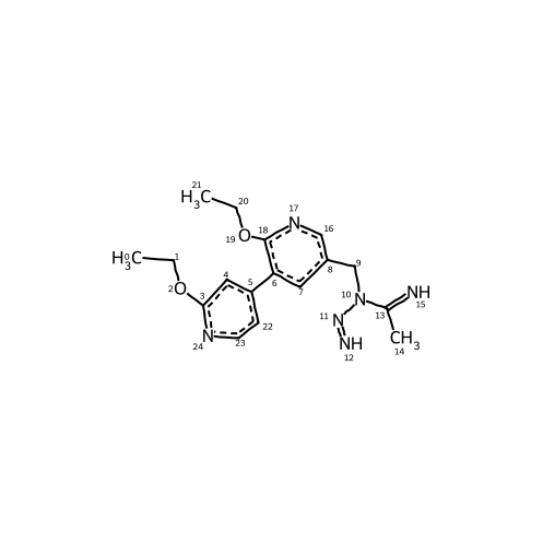 CCOc1cc(-c2cc(CN(N=N)C(C)=N)cnc2OCC)ccn1